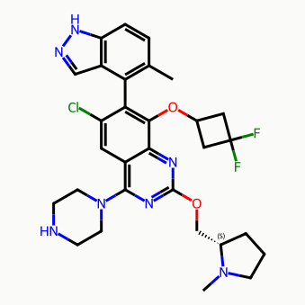 Cc1ccc2[nH]ncc2c1-c1c(Cl)cc2c(N3CCNCC3)nc(OC[C@@H]3CCCN3C)nc2c1OC1CC(F)(F)C1